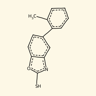 Cc1ccccc1-c1ccc2oc(S)nc2c1